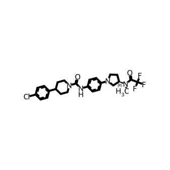 CN(C(=O)C(F)(F)F)[C@@H]1CCN(c2ccc(NC(=O)N3CCC(c4ccc(Cl)cc4)CC3)cc2)C1